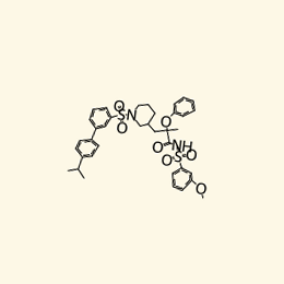 COc1cccc(S(=O)(=O)NC(=O)C(C)(CC2CCCN(S(=O)(=O)c3cccc(-c4ccc(C(C)C)cc4)c3)C2)Oc2ccccc2)c1